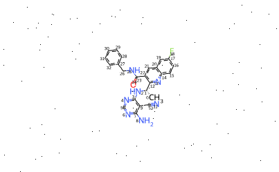 C[C@H](Nc1ncnc(N)c1C#N)c1nc2ccc(F)cc2cc1C(=O)NCc1ccccc1